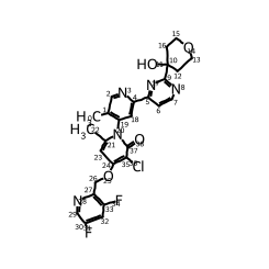 Cc1cnc(-c2ccnc(C3(O)CCOCC3)n2)cc1-n1c(C)cc(OCc2ncc(F)cc2F)c(Cl)c1=O